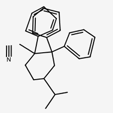 C#N.CC(C)C1CCC(C)(c2ccccc2)C(c2ccccc2)(c2ccccc2)C1